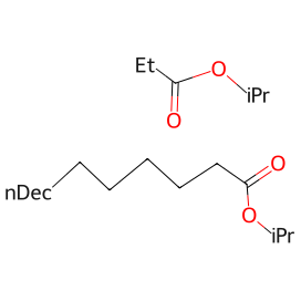 CCC(=O)OC(C)C.CCCCCCCCCCCCCCCC(=O)OC(C)C